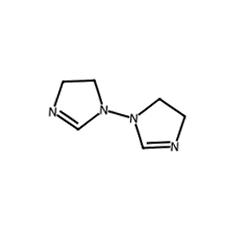 C1=NCCN1N1C=NCC1